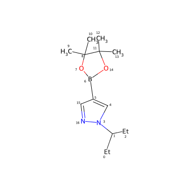 CCC(CC)n1cc(B2OC(C)(C)C(C)(C)O2)cn1